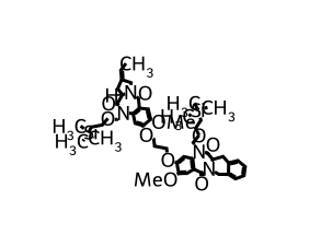 C/C=C1/C[C@H]2C(=O)N(COCC[Si](C)(C)C)c3cc(OCCCOc4cc5c(cc4OC)C(=O)N4Cc6ccccc6CC4C(=O)N5COCC[Si](C)(C)C)c(OC)cc3C(=O)N2C1